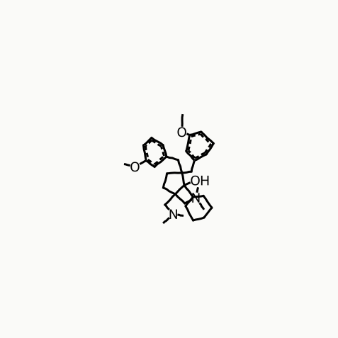 COc1cccc(CC2(Cc3cccc(OC)c3)CCC(CN(C)C)(CN(C)C)C2(O)C2CCCCC2)c1